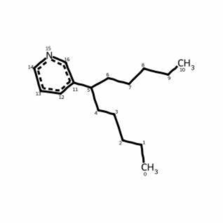 CCCCCC(CCCCC)c1cccnc1